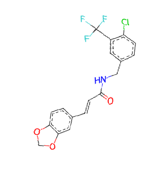 O=C(/C=C/c1ccc2c(c1)OCO2)NCc1ccc(Cl)c(C(F)(F)F)c1